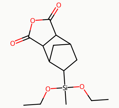 CCO[Si](C)(OCC)C1CC2CC1C1C(=O)OC(=O)C21